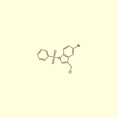 O=S(=O)(c1ccccc1)n1cc(CCl)c2cc(Br)ccc21